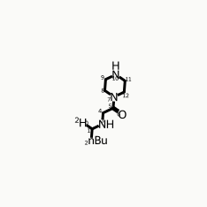 [2H]C(CCCC)NCC(=O)N1CCNCC1